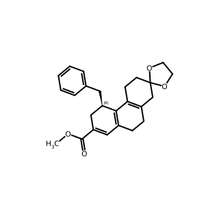 COC(=O)C1=CC2=C(C3=C(CC2)CC2(CC3)OCCO2)[C@H](Cc2ccccc2)C1